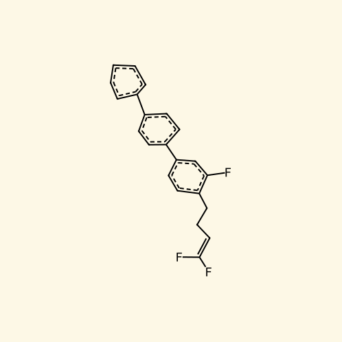 FC(F)=CCCc1ccc(-c2ccc(-c3ccccc3)cc2)cc1F